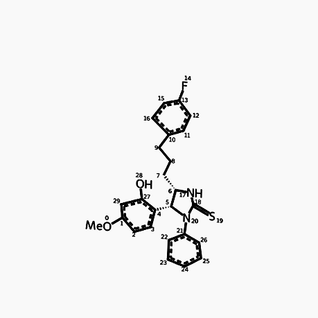 COc1ccc([C@@H]2[C@H](CCCc3ccc(F)cc3)NC(=S)N2c2ccccc2)c(O)c1